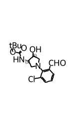 CC(C)(C)OC(=O)N[C@H]1CN(c2c(Cl)cccc2C=O)C[C@@H]1O